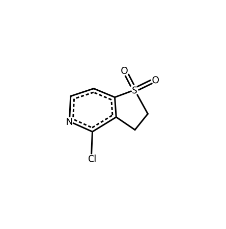 O=S1(=O)CCc2c1ccnc2Cl